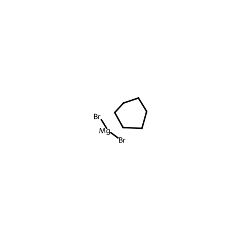 C1CCCCC1.[Br][Mg][Br]